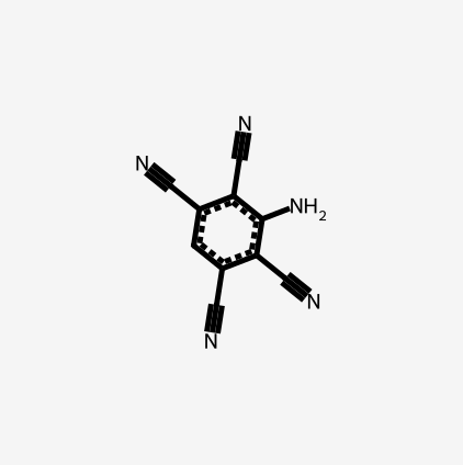 N#Cc1cc(C#N)c(C#N)c(N)c1C#N